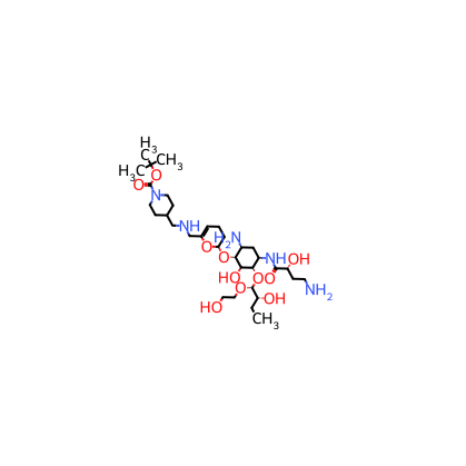 CC[C@@H](O)[C@H](OCCO)O[C@@H]1[C@@H](O)[C@H](O[C@@H]2CCC=C(CNCC3CCN(C(=O)OC(C)(C)C)CC3)O2)[C@@H](N)C[C@H]1NC(=O)[C@H](O)CCN